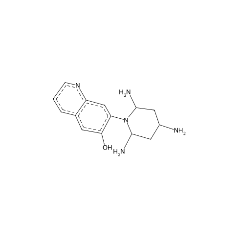 NC1CC(N)N(c2cc3ncccc3cc2O)C(N)C1